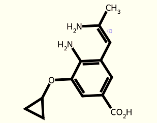 C/C(N)=C/c1cc(C(=O)O)cc(OC2CC2)c1N